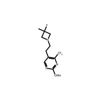 COc1ncc(CCN2CC(C)(F)C2)c(C(F)(F)F)n1